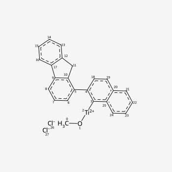 C[O][Ti+2][c]1c(-c2cccc3c2Cc2ccccc2-3)ccc2ccccc12.[Cl-].[Cl-]